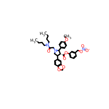 CCCCN(CCCC)C(=O)CN1CC(c2ccc3c(c2)OCO3)[C@@H](C(=O)Oc2cccc(CO[N+](=O)[O-])c2)C1c1ccc(OC)cc1